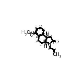 C=CCN1C(=O)C[C@H]2c3cccc(OC)c3CC[C@@H]21